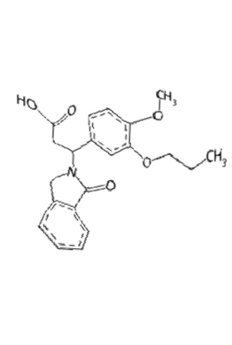 CCCOc1cc(C(CC(=O)O)N2Cc3ccccc3C2=O)ccc1OC